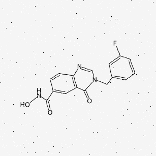 O=C(NO)c1ccc2ncn(Cc3cccc(F)c3)c(=O)c2c1